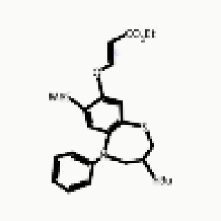 CCCCC1CSc2cc(O/C=C/C(=O)OCC)c(SC)cc2N(c2ccccc2)C1